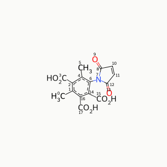 Cc1c(C(=O)O)c(C)c(N2C(=O)C=CC2=O)c(C(=O)O)c1C(=O)O